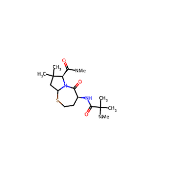 CNC(=O)[C@H]1N2C(=O)[C@@H](NC(=O)C(C)(C)NC)CCSC2CC1(C)C